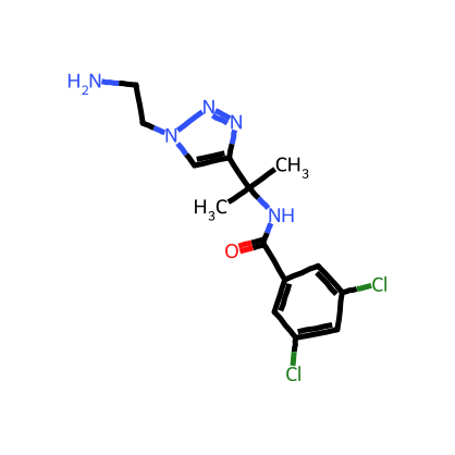 CC(C)(NC(=O)c1cc(Cl)cc(Cl)c1)c1cn(CCN)nn1